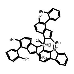 CCCCC1=Cc2c(ccc(C(C)C)c2-c2ccccc2C(C)C)[CH]1[Zr]([Cl])([Cl])([c]1cccc2c1[SiH2]c1ccccc1-2)[CH]1C(CCCC)=Cc2c1ccc(C(C)C)c2-c1ccccc1C(C)C